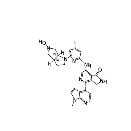 Cc1cc(Nc2cnc(-c3ccnc4c3ccn4C)c3c2C(=O)NC3)nc(N2CC[C@H]3CN(O)C[C@H]32)c1